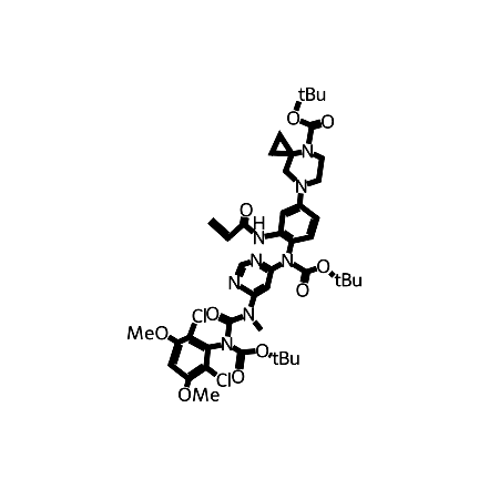 C=CC(=O)Nc1cc(N2CCN(C(=O)OC(C)(C)C)C3(CC3)C2)ccc1N(C(=O)OC(C)(C)C)c1cc(N(C)C(=O)N(C(=O)OC(C)(C)C)c2c(Cl)c(OC)cc(OC)c2Cl)ncn1